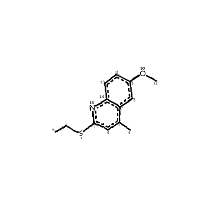 CCSc1cc(C)c2cc(OC)ccc2n1